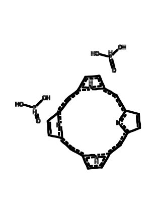 C1=Cc2cc3ccc(cc4nc(cc5ccc(cc1n2)[nH]5)C=C4)[nH]3.O=[PH](O)O.O=[PH](O)O